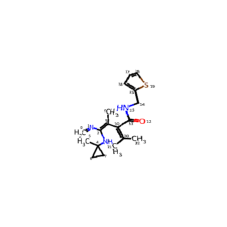 C=N/C(NC1(C)CC1)=C(\C)C(C(=O)NCc1cccs1)=C(C)C